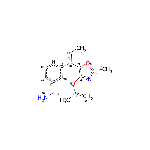 C=C(C)Oc1nc(C)oc1/C(=C\C)c1cccc(CN)c1